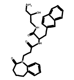 O=C(CCN1C(=O)CCCc2ccccc21)NC(Cc1ccc2ccccc2c1)C(=O)NCC(O)C[AsH2]